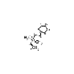 C=C[Si](C)(C)CCC1CC=CCC1